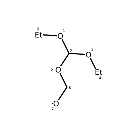 CCOC(OCC)OC[O]